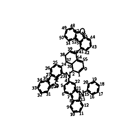 C1=CC(N(c2ccc3c4ccccc4n(-c4ccccc4)c3c2)c2cccc3c2sc2ccccc23)C2CCC=C(c3cccc4oc5ccccc5c34)C2=C1